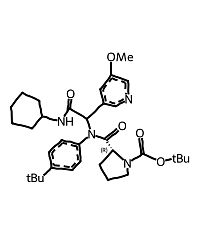 COc1cncc(C(C(=O)NC2CCCCC2)N(C(=O)[C@H]2CCCN2C(=O)OC(C)(C)C)c2ccc(C(C)(C)C)cc2)c1